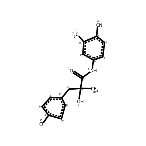 N#Cc1ccc(NC(=O)C(O)(Cc2ccc(Cl)cc2)C(F)(F)F)cc1C(F)(F)F